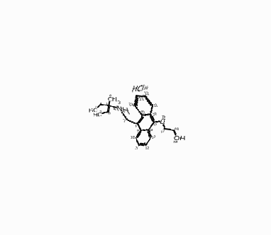 CC(CO)(CO)NCc1c2ccccc2c(OCCO)c2ccccc12.Cl